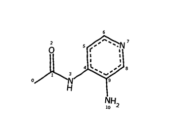 CC(=O)Nc1ccncc1N